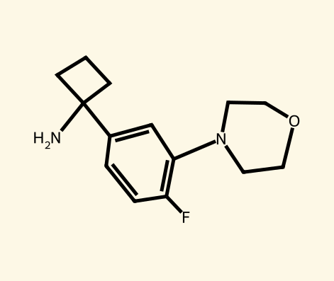 NC1(c2ccc(F)c(N3CCOCC3)c2)CCC1